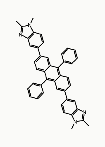 Cc1nc2cc(-c3ccc4c(-c5ccccc5)c5cc(-c6ccc7c(c6)nc(C)n7C)ccc5c(-c5ccccc5)c4c3)ccc2n1C